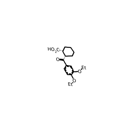 CCOc1ccc(C(=O)[C@H]2CCCC[C@H]2C(=O)O)cc1OCC